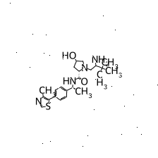 Cc1ncsc1-c1ccc([C@H](C)NC(=O)[C@@H]2C[C@@H](O)CN2CC(N)C(C)(C)C)cc1